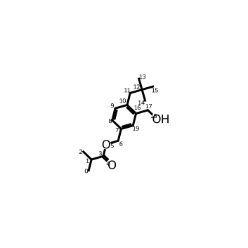 CC(C)C(=O)OCc1ccc(CC(C)(C)C)c(CO)c1